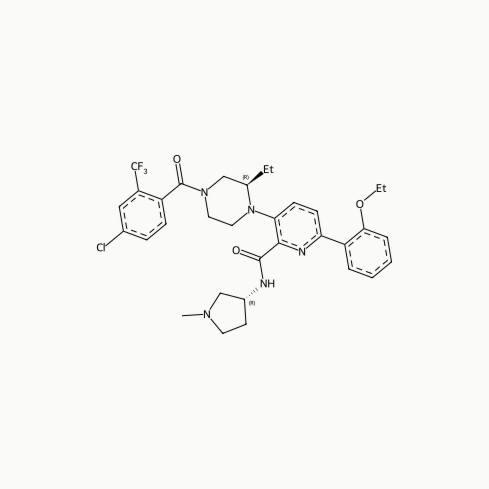 CCOc1ccccc1-c1ccc(N2CCN(C(=O)c3ccc(Cl)cc3C(F)(F)F)C[C@H]2CC)c(C(=O)N[C@@H]2CCN(C)C2)n1